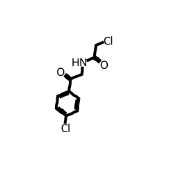 O=C(CCl)NCC(=O)c1ccc(Cl)cc1